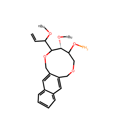 C=CC(OCCCC)C1OCc2cc3ccccc3cc2COCC(OP)[C@H]1OCCCC